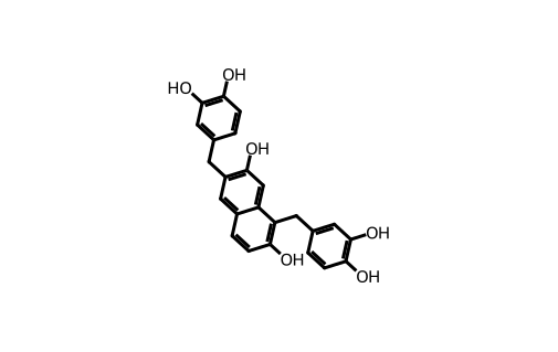 Oc1ccc(Cc2cc3ccc(O)c(Cc4ccc(O)c(O)c4)c3cc2O)cc1O